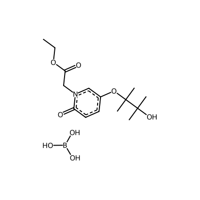 CCOC(=O)Cn1cc(OC(C)(C)C(C)(C)O)ccc1=O.OB(O)O